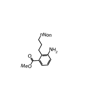 CCCCCCCCCCCCc1c(N)cccc1C(=O)OC